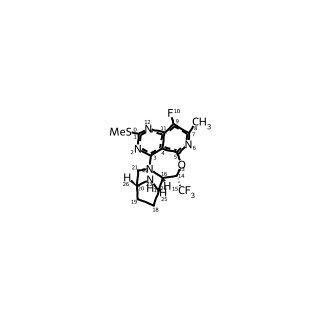 CSc1nc2c3c(nc(C)c(F)c3n1)O[C@H](C(F)(F)F)[C@@H]1[C@@H]3CC[C@H](CN21)N3